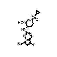 CCC(C)c1cc(F)c2cnc(N[C@@H]3CCN(S(=O)(=O)C4CC4)C[C@H]3O)nn12